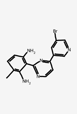 Cc1ccc(N)c(-c2nccc(-c3cncc(Br)c3)n2)c1N